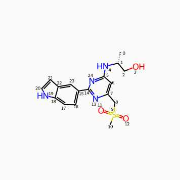 C[C@H](CO)Nc1cc(CS(C)(=O)=O)nc(-c2ccc3[nH]ccc3c2)n1